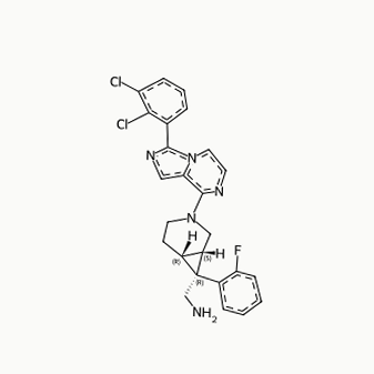 NC[C@]1(c2ccccc2F)[C@@H]2CCN(c3nccn4c(-c5cccc(Cl)c5Cl)ncc34)C[C@@H]21